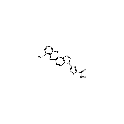 CNC(=O)c1cc(-n2ncc3cc(Nc4c(F)cccc4OC)ccc32)cs1